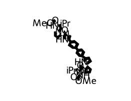 COC(=O)N[C@H](C(=O)N1CCC[C@H]1c1ncc(-c2ccc(-c3ccc(-c4ccc([C@@H]5CCCN5C(=O)N(NC(=O)OC)C(C)C)[nH]4)cc3)cc2)[nH]1)C(C)C